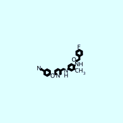 Cc1cc(NCc2ccc(Oc3ccc(C#N)cc3)nc2)ccc1NC(=O)Cc1ccc(F)cc1